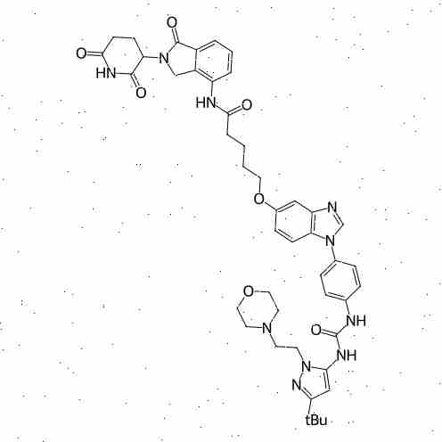 CC(C)(C)c1cc(NC(=O)Nc2ccc(-n3cnc4cc(OCCCCC(=O)Nc5cccc6c5CN(C5CCC(=O)NC5=O)C6=O)ccc43)cc2)n(CCN2CCOCC2)n1